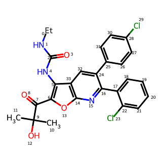 CCNC(=O)Nc1c(C(=O)C(C)(C)O)oc2nc(-c3ccccc3Cl)c(-c3ccc(Cl)cc3)cc12